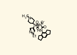 CCn1cc(N(C2CCN(C)CC2)S(=O)(=O)[NH+]([O-])C(=O)Nc2c3c(cc4c2CCC4)CCC3)cn1